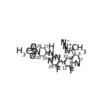 CC(N=[N+]=[N-])c1ccnc2c(F)cc(-c3nc(NC4CCN(S(C)(=O)=O)CC4)ncc3F)cc12